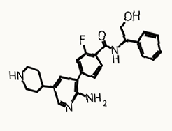 Nc1ncc(C2CCNCC2)cc1-c1ccc(C(=O)NC(CO)c2ccccc2)c(F)c1